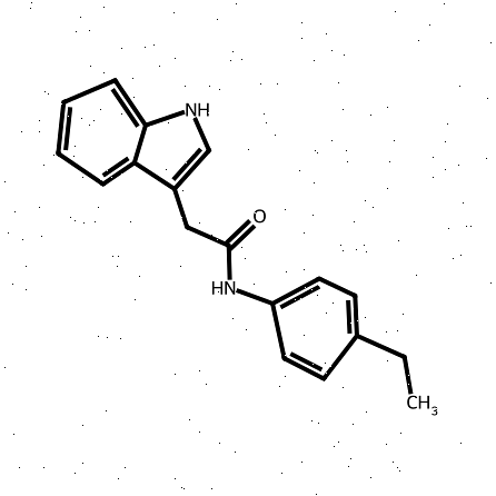 CCc1ccc(NC(=O)Cc2c[nH]c3ccccc23)cc1